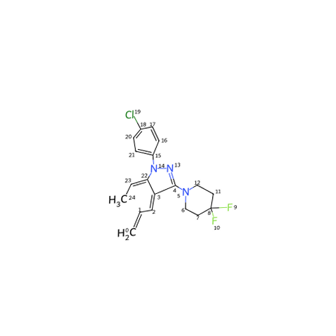 C=C/C=c1/c(N2CCC(F)(F)CC2)nn(-c2ccc(Cl)cc2)/c1=C/C